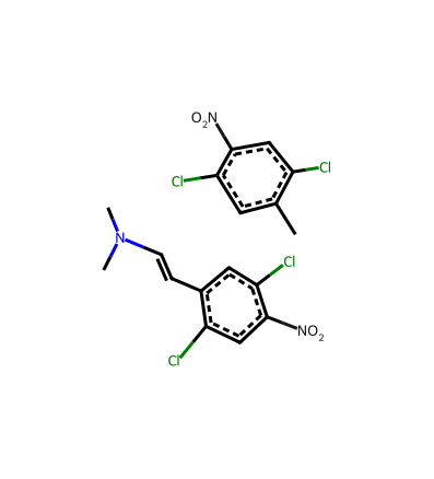 CN(C)C=Cc1cc(Cl)c([N+](=O)[O-])cc1Cl.Cc1cc(Cl)c([N+](=O)[O-])cc1Cl